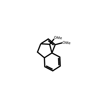 COC1=CC2CC3C=CC=CC13C2OC